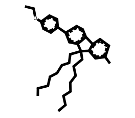 CCCCCCCCC1(CCCCCCCC)c2cc(C)ccc2-c2ccc(-c3ccc(OCC)cc3)cc21